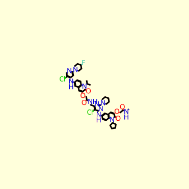 CNC(=O)COc1cc2cc(Nc3nc(N4CCCCC4)nc(CNC(=O)COc4cc5cc(Nc6cc(N7CCC(F)CC7)ncc6Cl)ccc5n(C(C)C)c4=O)c3Cl)ccc2n(C2CCCC2)c1=O